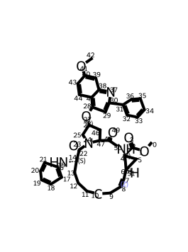 COC(=O)[C@@]12C[C@H]1/C=C\CCCCC[C@H](Nc1ccccc1)C(=O)N1C[C@H](Oc3cc(-c4ccccc4)nc4cc(OC)ccc34)CC1C(=O)N2